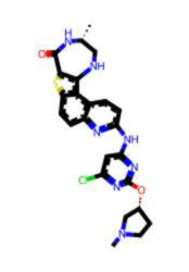 C[C@@H]1CNc2c(sc3ccc4nc(Nc5cc(Cl)nc(O[C@@H]6CCN(C)C6)n5)ccc4c23)C(=O)N1